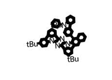 CC(C)(C)c1ccc2c(c1)c1cc(C(C)(C)C)cc3c4nc5c(nc4n2c13)c1cc(C(C)(C)C)cc2c3cc4ccccc4c(-c4ccc6c(c4)c4ccccc4n6-c4ccccc4)c3n5c21